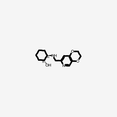 O[C@@H]1CCCC[C@H]1NCc1cc2c(cn1)OCCO2